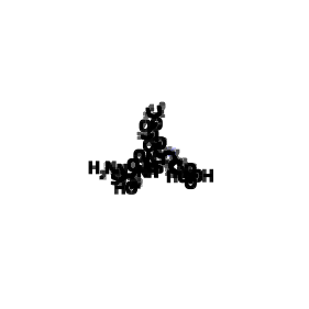 CCC(CC)OC(=O)OC(C)OC(=O)C1=C(/C=C\c2cccnc2)CS[C@H]2[C@H](NC(=O)C(=NO)c3csc(N)n3)C(=O)N12.O=S(=O)(O)O